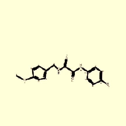 COc1ccc(CNC(=O)C(=O)Nc2ccc(Cl)cc2)cc1